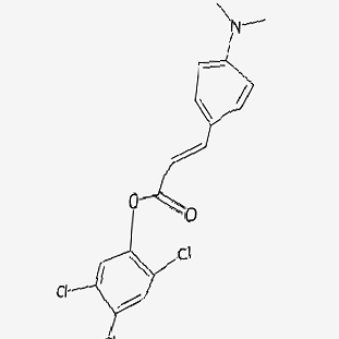 CN(C)c1ccc(C=CC(=O)Oc2cc(Cl)c(Cl)cc2Cl)cc1